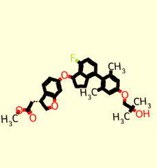 COC(=O)C[C@H]1COc2cc(OC3CCc4c(-c5c(C)cc(OCC(C)(C)O)cc5C)ccc(F)c43)ccc21